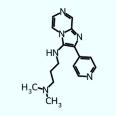 CN(C)CCCNc1c(-c2ccncc2)nc2cnccn12